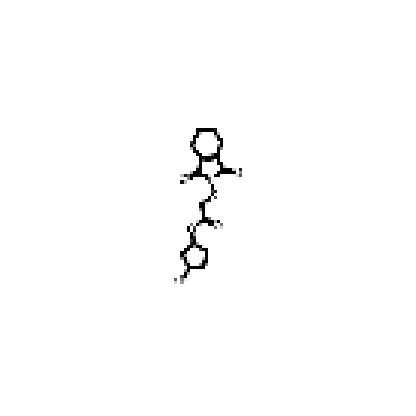 O=C(CSN1C(=O)C2=C(CCCC2)C1=O)OC1CCC(Cl)C1